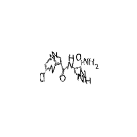 NC(=O)c1n[nH]cc1NC(=O)c1cnn2ccc(Cl)nc12